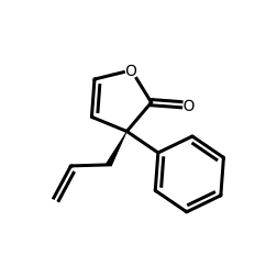 C=CC[C@@]1(c2ccccc2)C=COC1=O